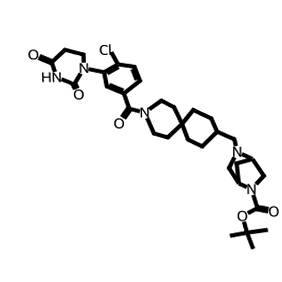 CC(C)(C)OC(=O)N1CC2CC1CN2CC1CCC2(CC1)CCN(C(=O)c1ccc(Cl)c(N3CCC(=O)NC3=O)c1)CC2